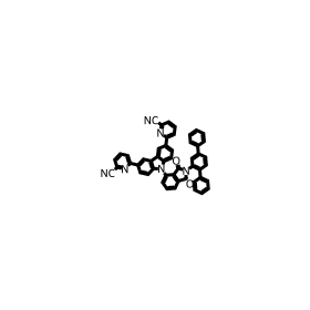 N#Cc1cccc(-c2ccc3c(c2)c2cc(-c4cccc(C#N)n4)ccc2n3-c2cccc3c2C(=O)N(c2cc(-c4ccccc4)ccc2-c2ccccc2)C3=O)n1